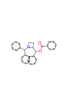 O=C(OC(c1ccccc1)C1CCN1C(c1ccccc1)c1ccccc1)c1ccccc1